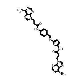 Nc1ncnc2c1ncn2CCC(=O)Nc1ccc(/C=N/c2ccc(NC(=O)CCn3cnc4c(N)ncnc43)s2)cc1